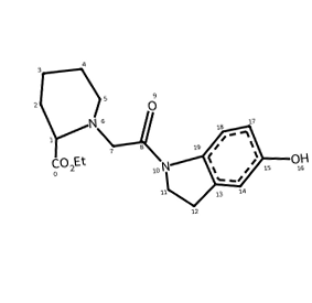 CCOC(=O)C1CCCCN1CC(=O)N1CCc2cc(O)ccc21